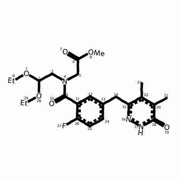 CCOC(CN(CC(=O)OC)C(=O)c1cc(Cc2n[nH]c(=O)c(C)c2C)ccc1F)OCC